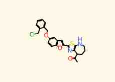 CC(=O)C1CCCNc2sc(-c3cc4cc(OCc5ccccc5CCl)ccc4o3)nc21